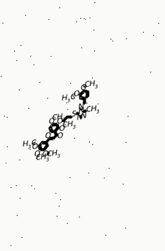 COc1ccc(C=Nn2c(C)nnc2SCCCOc2c(OC)cc3oc(-c4cc(OC)c(OC)c(OC)c4)cc(=O)c3c2OC)cc1OC